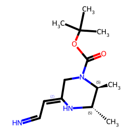 C[C@@H]1N/C(=C\C=N)CN(C(=O)OC(C)(C)C)[C@H]1C